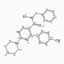 CCN(Cc1ccccc1)C(=O)c1cnc(N2CCOCC2)nc1-c1ccc(C#N)cc1